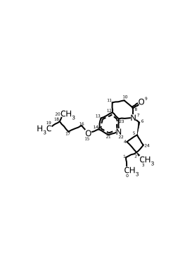 CC[C@]1(C)C[C@@H](CN2C(=O)CCc3cc(OCCC(C)C)cnc32)C1